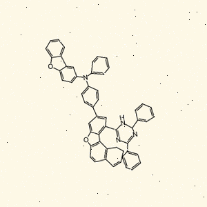 C1=Cc2ccc3oc4cc(-c5ccc(N(c6ccccc6)c6ccc7oc8ccccc8c7c6)cc5)cc(C5=NC(c6ccccc6)=NC(c6ccccc6)N5)c4c3c2CC1